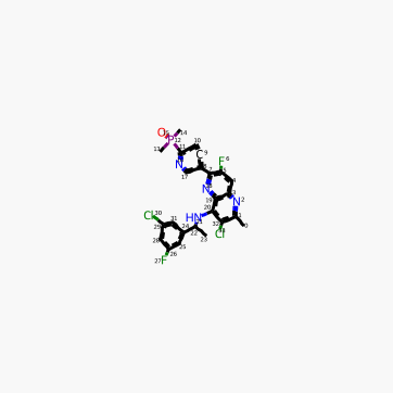 Cc1nc2cc(F)c(-c3ccc(P(C)(C)=O)nc3)nc2c(NC(C)c2cc(F)cc(Cl)c2)c1Cl